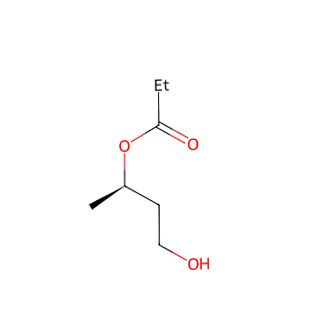 CCC(=O)O[C@H](C)CCO